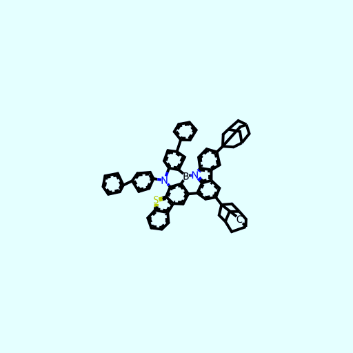 c1ccc(-c2ccc(N3c4ccc(-c5ccccc5)cc4B4c5c(cc6c(sc7ccccc76)c53)-c3cc(C56CC7CC(CC(C7)C5)C6)cc5c6cc(C78CC9CC(CC(C9)C7)C8)ccc6n4c35)cc2)cc1